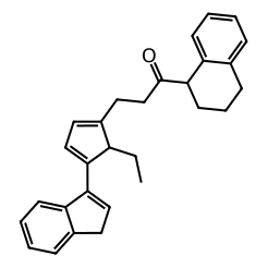 CCC1C(CCC(=O)C2CCCc3ccccc32)=CC=C1C1=CCc2ccccc21